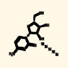 Nc1ccn([C@@H]2O[C@H](CO)[C@@H](O)[C@H]2O)c(=O)n1.[N].[N].[N].[N].[N]